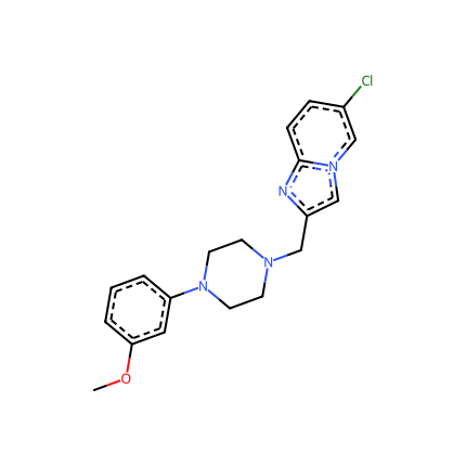 COc1cccc(N2CCN(Cc3cn4cc(Cl)ccc4n3)CC2)c1